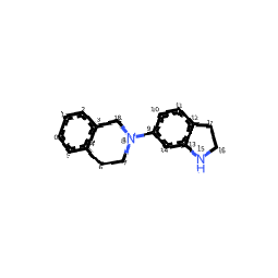 c1ccc2c(c1)CCN(c1ccc3c(c1)NCC3)C2